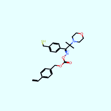 C=Cc1ccc(COC(=O)O/N=C(\c2ccc(CS)cc2)C(C)(C)N2CCOCC2)cc1